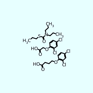 CCCSC(=O)N(CCC)CCC.O=C(O)CCCOc1ccc(Cl)cc1Cl.O=C(O)COc1ccc(Cl)cc1Cl